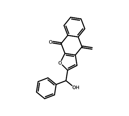 C=C1c2ccccc2C(=O)c2oc(C(O)c3ccccc3)cc21